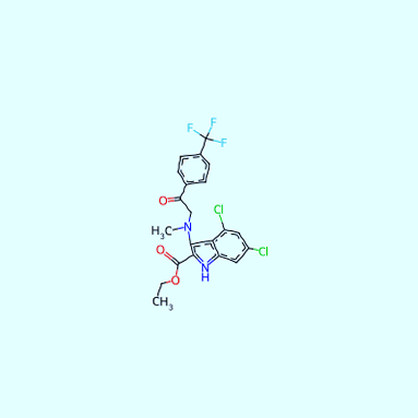 CCOC(=O)c1[nH]c2cc(Cl)cc(Cl)c2c1N(C)CC(=O)c1ccc(C(F)(F)F)cc1